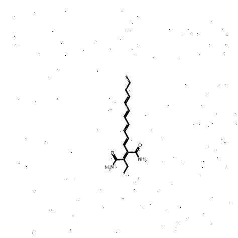 CCCC=CC=CC=CC=CC(C(N)=O)=C(CC)C(N)=O